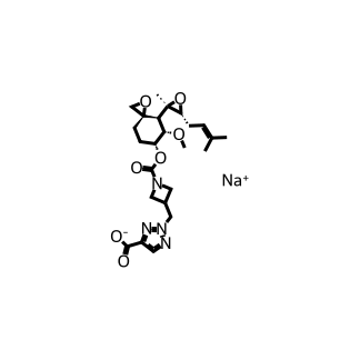 CO[C@@H]1[C@H](OC(=O)N2CC(Cn3ncc(C(=O)[O-])n3)C2)CC[C@]2(CO2)[C@H]1[C@@]1(C)O[C@@H]1CC=C(C)C.[Na+]